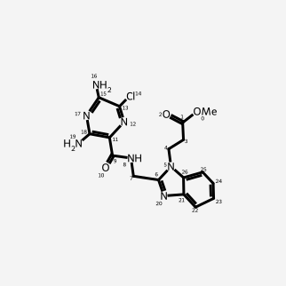 COC(=O)CCn1c(CNC(=O)c2nc(Cl)c(N)nc2N)nc2ccccc21